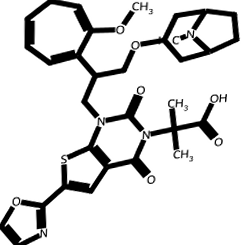 COC1=CCC=CC=C1C(COC1CC2CCC(C1)N2C)Cn1c(=O)n(C(C)(C)C(=O)O)c(=O)c2cc(-c3ncco3)sc21